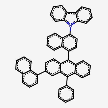 c1ccc(-c2c3ccccc3c(-c3ccc(-n4c5ccccc5c5ccccc54)c4ccccc34)c3ccc(-c4cccc5ccccc45)cc23)cc1